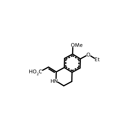 CCOc1cc2c(cc1OC)C(=CC(=O)O)NCC2